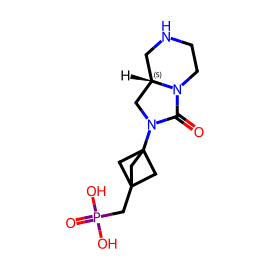 O=C1N2CCNC[C@H]2CN1C12CC(CP(=O)(O)O)(C1)C2